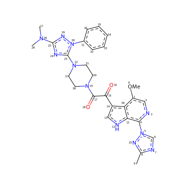 COc1cnc(-n2cnc(C)n2)c2[nH]cc(C(=O)C(=O)N3CCN(c4nc(N(C)C)nn4-c4ccccc4)CC3)c12